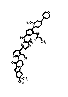 C=CC(=O)Nc1cc(Nc2nc(-c3ccnc(N4CCn5c(cc6c5CC(C)(C)C6)C4=O)c3CO)cnc2N)ccc1N1CCN(C2CCOCC2)C[C@@H]1C